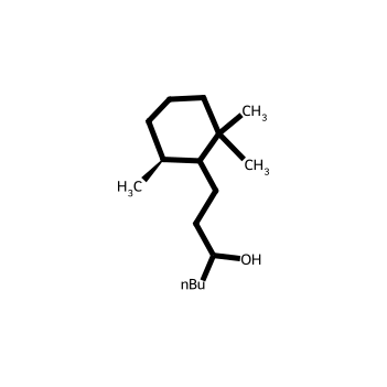 CCCCC(O)CCC1[C@@H](C)CCCC1(C)C